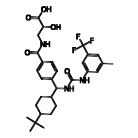 Cc1cc(NC(=O)NC(c2ccc(C(=O)NCC(O)C(=O)O)cc2)C2CCC(C(C)(C)C)CC2)cc(C(F)(F)F)c1